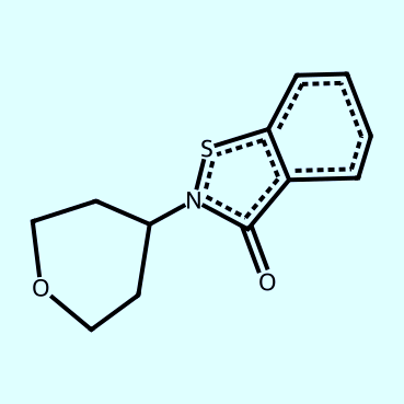 O=c1c2ccccc2sn1C1CCOCC1